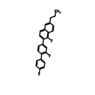 CCCc1ccc2c(F)c(-c3ccc(-c4ccc(F)cc4)c(F)c3)ccc2c1